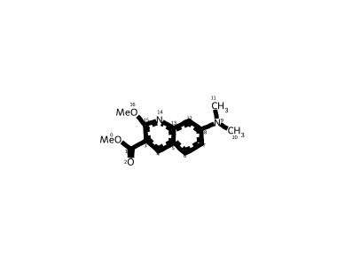 COC(=O)c1cc2ccc(N(C)C)cc2nc1OC